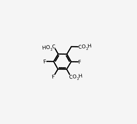 O=C(O)Cc1c(F)c(C(=O)O)c(F)c(F)c1C(=O)O